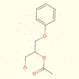 CC(=O)OC(C[O])COc1ccccc1